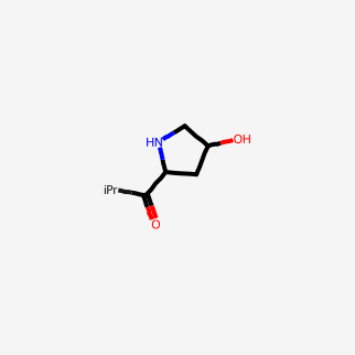 CC(C)C(=O)C1CC(O)CN1